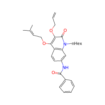 C=CCOc1c(OCC=C(C)C)c2ccc(NC(=O)c3ccccc3)cc2n(CCCCCC)c1=O